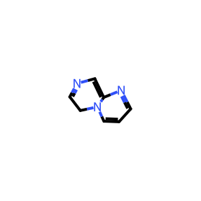 C1=CN2CC=NC=C2N=C1